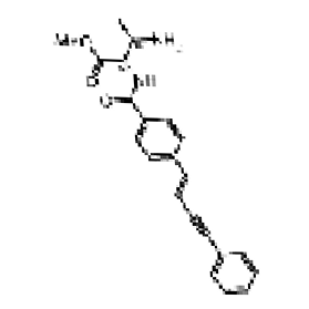 COC(=O)[C@@H](NC(=O)c1ccc(C=CC#Cc2ccccc2)cc1)[C@@H](C)N